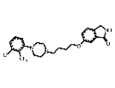 O=C1NCc2ccc(OCCCCN3CCN(c4cccc(Cl)c4C(F)(F)F)CC3)cc21